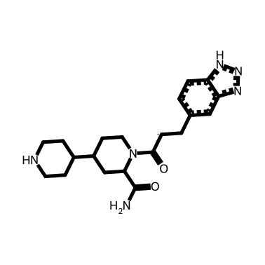 NC(=O)C1CC(C2CCNCC2)CCN1C(=O)[CH]Cc1ccc2[nH]nnc2c1